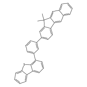 CC1(C)c2cc(-c3cccc(-c4cccc5c4sc4ccccc45)c3)ccc2-c2cc3ccccc3cc21